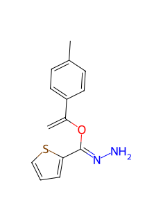 C=C(O/C(=N\N)c1cccs1)c1ccc(C)cc1